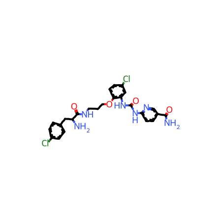 NC(=O)c1ccc(NC(=O)Nc2cc(Cl)ccc2OCCCNC(=O)C(N)Cc2ccc(Cl)cc2)nc1